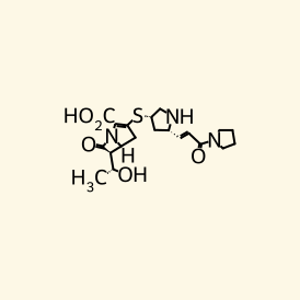 C[C@@H](O)[C@H]1C(=O)N2C(C(=O)O)=C(S[C@@H]3CN[C@H](/C=C/C(=O)N4CCCC4)C3)C[C@H]12